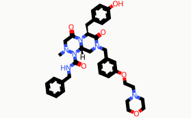 CN1CC(=O)N2[C@@H](Cc3ccc(O)cc3)C(=O)N(Cc3cccc(OCCN4CCOCC4)c3)C[C@@H]2N1C(=O)NCc1ccccc1